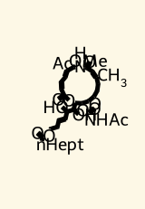 CCCCCCCC(=O)OCC/C=C/C(O)C(O)C1OC(=O)/C=C\C=C\C(OC)(C(C)=O)NC(=O)/C=C(/C)CCC2OC2C1OC(=O)NC(C)=O